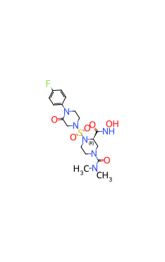 CN(C)C(=O)N1CCN(S(=O)(=O)N2CCN(c3ccc(F)cc3)C(=O)C2)[C@@H](C(=O)NO)C1